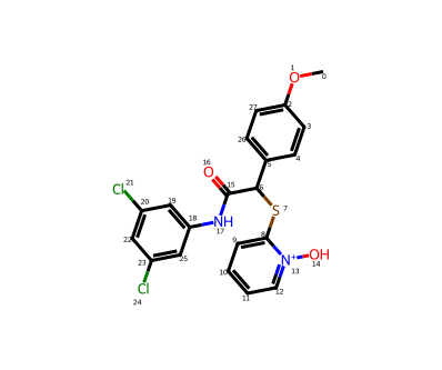 COc1ccc(C(Sc2cccc[n+]2O)C(=O)Nc2cc(Cl)cc(Cl)c2)cc1